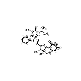 CC(C)OC(=O)[C@@H](C)N[P@](=S)(OC[C@H]1O[C@@H](n2ccc(=O)[nH]c2=O)[C@](C)(O)[C@@H]1O)Oc1ccccc1